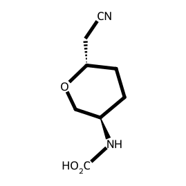 N#CC[C@@H]1CC[C@@H](NC(=O)O)CO1